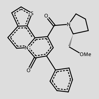 COC[C@H]1CCCN1C(=O)c1cc(-c2ccccc2)c(=O)n2ccc3ccsc3c12